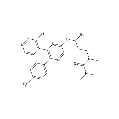 CCC(CCN(C)C(=O)N(C)C)Oc1cnc(-c2ccc(C(F)(F)F)cc2)c(-c2ccncc2Cl)n1